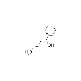 BCCC[C@@H](O)c1ccccc1